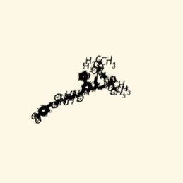 CC(C)(C)OC(=O)N1CCN(Cc2cc(-c3ccco3)cc(C(=O)NCCNC(=O)OCc3ccc([N+](=O)[O-])cc3)n2)CCN(C(=O)OC(C)(C)C)CC1